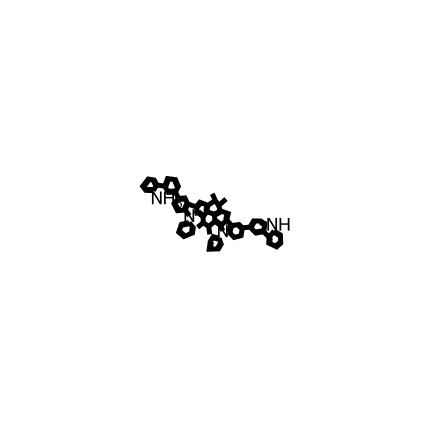 CC1c2cc3c4c(n(-c5ccccc5)c3c3c2-c2c(cc5c6cc(-c7cccc(-c8ccccc8N)c7)ccc6n(-c6ccccc6)c5c2C(C)C3C)C1C)CCC(c1ccc2[nH]c3ccccc3c2c1)=C4